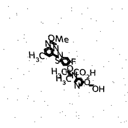 COc1cnc2c(-c3nc4cc(F)c(O[C@@H](C)[C@@H](C)N(C(=O)O)c5cncc(OCCO)c5)cc4s3)cc(C)cc2n1